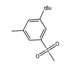 Cc1cc(C(C)(C)C)cc(S(C)(=O)=O)c1